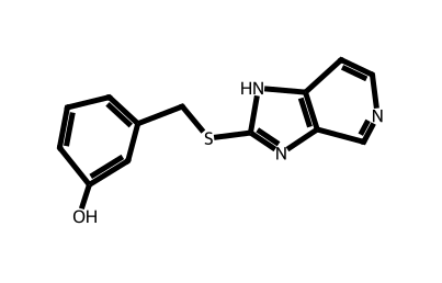 Oc1cccc(CSc2nc3cnccc3[nH]2)c1